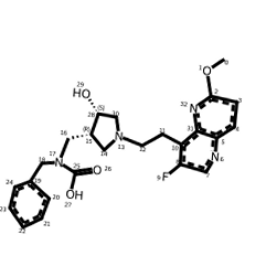 COc1ccc2ncc(F)c(CCN3C[C@H](CN(Cc4ccccc4)C(=O)O)[C@H](O)C3)c2n1